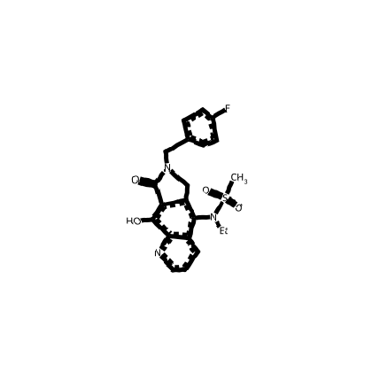 CCN(c1c2c(c(O)c3ncccc13)C(=O)N(Cc1ccc(F)cc1)C2)S(C)(=O)=O